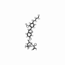 C=C(C)C(=O)OCC(COc1ccc2cc(-c3ccc(CCCCC)cc3OC)sc2c1)CC(F)(F)F